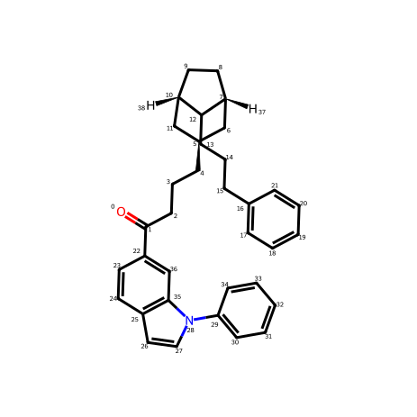 O=C(CCC[C@@H]1C[C@H]2CC[C@@H](C1)C2CCCc1ccccc1)c1ccc2ccn(-c3ccccc3)c2c1